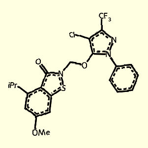 COc1cc(C(C)C)c2c(=O)n(COc3c(Cl)c(C(F)(F)F)nn3-c3ccccc3)sc2c1